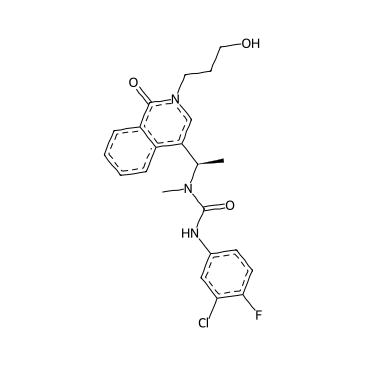 C[C@H](c1cn(CCCO)c(=O)c2ccccc12)N(C)C(=O)Nc1ccc(F)c(Cl)c1